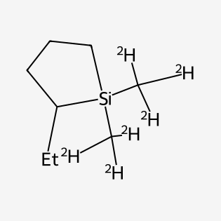 [2H]C([2H])([2H])[Si]1(C([2H])([2H])[2H])CCCC1CC